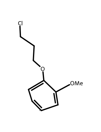 COc1c[c]ccc1OCCCCl